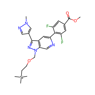 COC(=O)c1cc(F)c(-c2cc3c(-c4cnn(C)c4)nn(COCC[Si](C)(C)C)c3cn2)c(F)c1